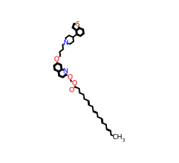 CCC=CCC=CCC=CCC=CCCCCC(=O)OCOc1ccc2ccc(OCCCCN3CCC(c4cccc5sccc45)CC3)cc2n1